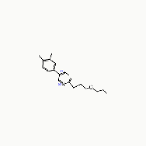 C=C(CCCOCCC)/N=C\C(=C/C)c1ccc(C)c(C)c1